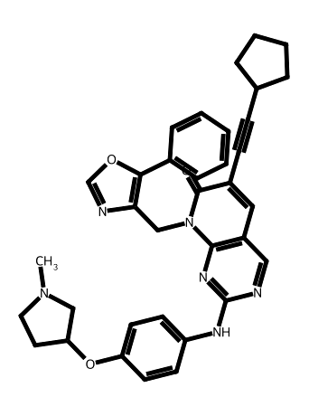 CN1CCC(Oc2ccc(Nc3ncc4cc(C#CC5CCCC5)c(=O)n(Cc5ncoc5-c5ccccc5)c4n3)cc2)C1